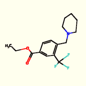 CCOC(=O)c1ccc(CN2CCCCC2)c(C(F)(F)F)c1